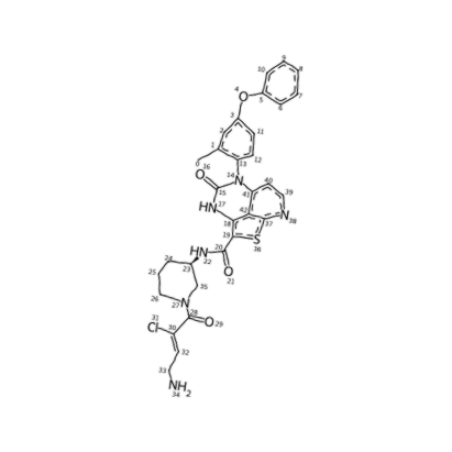 Cc1cc(Oc2ccccc2)ccc1N1C(=O)Nc2c(C(=O)N[C@@H]3CCCN(C(=O)/C(Cl)=C/CN)C3)sc3nccc1c23